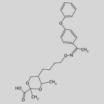 CC(=NOCCCCC1COC(C)(C(=O)O)OC1C)c1ccc(Oc2ccccc2)cc1